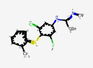 CS/C(=N\C#N)Nc1cc(Cl)c(Sc2ccccc2C(F)(F)F)c(Cl)c1